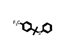 CC(C)(Sc1ccccc1)c1ccc(C(F)(F)F)cc1